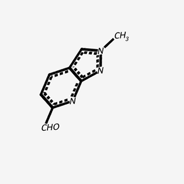 Cn1cc2ccc(C=O)nc2n1